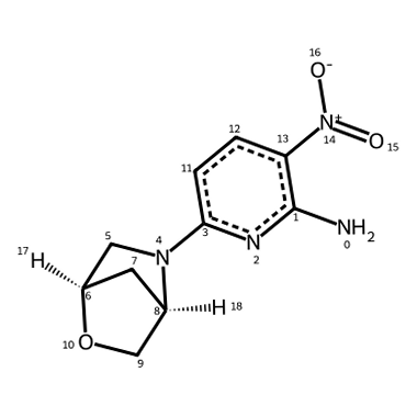 Nc1nc(N2C[C@H]3C[C@@H]2CO3)ccc1[N+](=O)[O-]